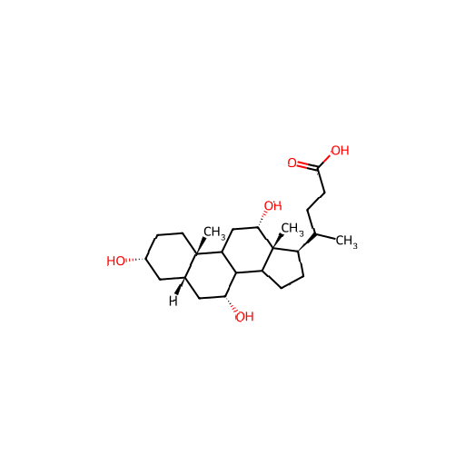 CC(CCC(=O)O)[C@H]1CCC2C3C(C[C@H](O)[C@@]21C)[C@@]1(C)CC[C@@H](O)C[C@H]1C[C@H]3O